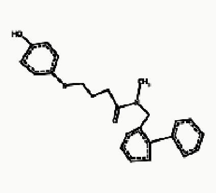 CN(Cc1ccccc1-c1ccccc1)C(=O)CCCSc1ccc(O)cc1